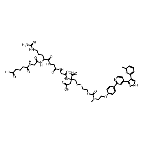 Cc1cccc(-c2c[nH]nc2-c2ccnc(-c3ccc(OCCN(C)C(=O)OCCSSCC(CC(=O)O)(NC(=O)CNC(=O)CNC(=O)C(CCCNC(=N)N)NC(=O)CNC(=O)CCCC(=O)O)C(=O)O)cc3)c2)n1